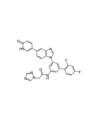 O=C(Cn1cncn1)Nc1cc(-c2ccc(F)cc2F)cc(-n2cnc3cc(-c4ccc(=O)[nH]c4)ccc32)c1